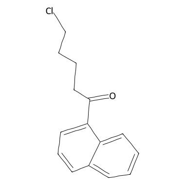 O=C(CCCCCl)c1cccc2ccccc12